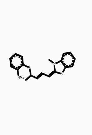 CNc1ccccc1SC(C)/C=C/C=C1/Sc2ccccc2N1C